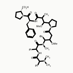 CCC(C)C(C(CC(=O)N1CCCC1C(OC)C(C)C(=O)N[C@@H](Cc1ccccc1)C(=O)N1CCC[C@@H]1C(=O)O)OC)N(C)C(=O)C(NC(=O)C(C(C)C)N(C)C)C(C)C